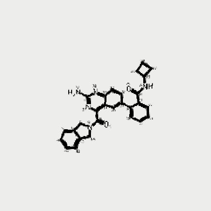 Nc1nc(C(=O)N2Cc3ccccc3C2)c2cc(-c3ccccc3C(=O)NC3CCC3)ccc2n1